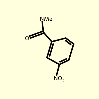 CNC(=O)c1[c]ccc([N+](=O)[O-])c1